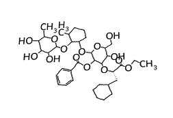 CCOC(=O)[C@H](CC1CCCCC1)OC1C(O)C(CO)OC(OC2CCCC(C)C2OC2OC(C)C(O)C(O)C2O)C1OC(=O)c1ccccc1